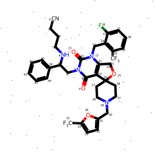 N#CCCCNC(Cn1c(=O)c2c(n(Cc3c(F)cccc3C(F)(F)F)c1=O)COC21CCN(Cc2ccc(C(F)(F)F)o2)CC1)c1ccccc1